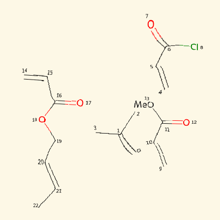 C=C(C)C.C=CC(=O)Cl.C=CC(=O)OC.C=CC(=O)OCC=CC